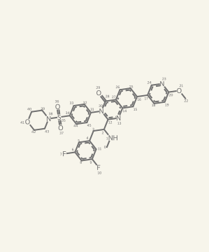 CNC(Cc1cc(F)cc(F)c1)c1nc2cc(-c3ccc(OC)nc3)ccc2c(=O)n1-c1ccc(S(=O)(=O)N2CCOCC2)cc1